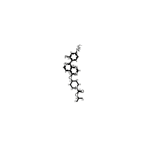 [C-]#[N+]c1ccc(-c2nccc3c(OC4CCN(C(=O)OC(C)C)CC4)ncnc23)c(F)c1